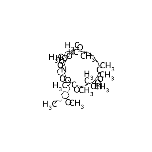 CCC[C@@H]1CC[C@@H](C[C@@H](C)[C@@H]2CC(=O)[C@H](C)/C=C(\C)[C@@H](O)[C@@H](OC)C(=O)[C@H](C)C[C@H](C)/C=C/C=C/C=C(\C)[C@@H](OC)C[C@@H]3CC[C@@H](C)[C@@](O)(O3)C(=O)C(=O)N3CCCCC3C(=O)O2)C[C@H]1OC